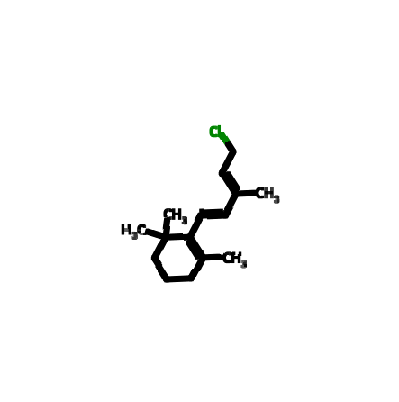 CC(C=CC1=C(C)CCCC1(C)C)=CCCl